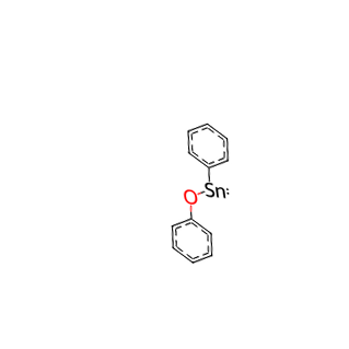 c1ccc([O][Sn][c]2ccccc2)cc1